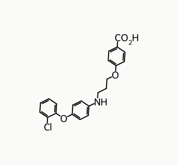 O=C(O)c1ccc(OCCCNc2ccc(Oc3ccccc3Cl)cc2)cc1